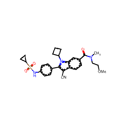 COCCN(C)C(=O)c1ccc2c(C#N)c(-c3ccc(NS(=O)(=O)C4CC4)cc3)n(C3CCC3)c2c1